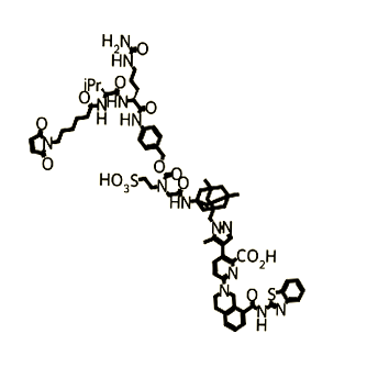 Cc1c(-c2ccc(N3CCc4cccc(C(=O)Nc5nc6ccccc6s5)c4C3)nc2C(=O)O)cnn1CC12CC3(C)CC(C)(C1)CC(NC(=O)CN(CCS(=O)(=O)O)C(=O)OCc1ccc(NC(=O)[C@H](CCCNC(N)=O)NC(=O)[C@@H](NC(=O)CCCCCN4C(=O)C=CC4=O)C(C)C)cc1)(C3)C2